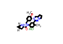 COc1ccc(CN(C(=O)[C@H]2C[C@H]3C[C@H]3N2)c2ccc(C)c(-c3ncc4cccn4n3)c2)cc1.Cl